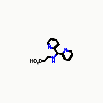 O=C(O)CCNC(c1ccccn1)c1ccccn1